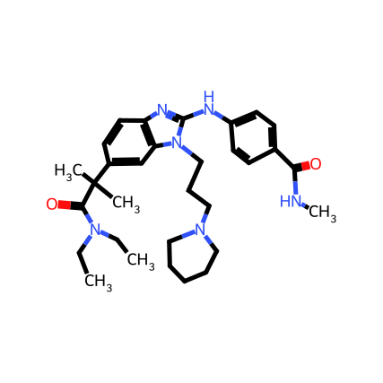 CCN(CC)C(=O)C(C)(C)c1ccc2nc(Nc3ccc(C(=O)NC)cc3)n(CCCN3CCCCC3)c2c1